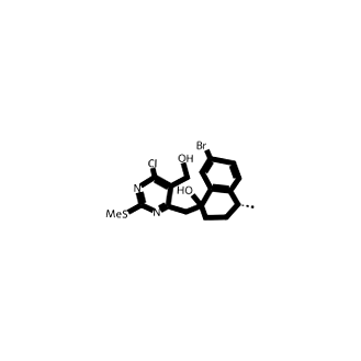 CSc1nc(Cl)c(CO)c(CC2(O)CC[C@@H](C)c3ccc(Br)cc32)n1